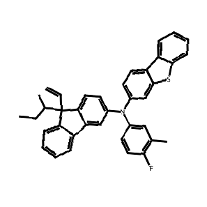 C=CC1(C(C)CC)c2ccccc2-c2cc(N(c3ccc(F)c(C)c3)c3ccc4c(c3)sc3ccccc34)ccc21